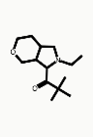 CCN1CC2CCOCC2C1C(=O)C(C)(C)C